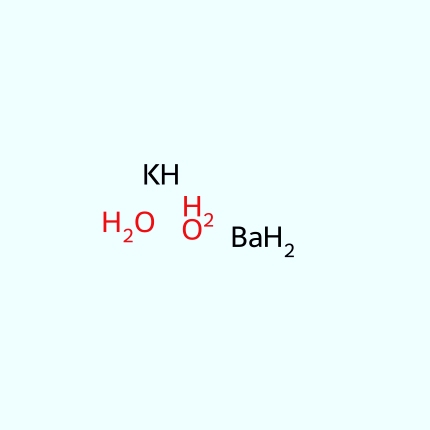 O.O.[BaH2].[KH]